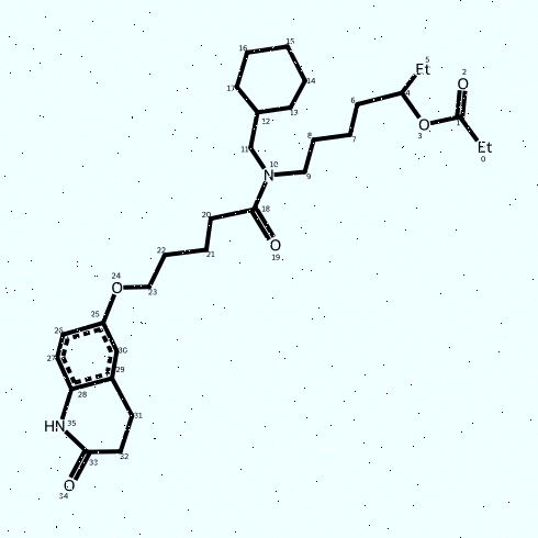 CCC(=O)OC(CC)CCCCN(CC1CCCCC1)C(=O)CCCCOc1ccc2c(c1)CCC(=O)N2